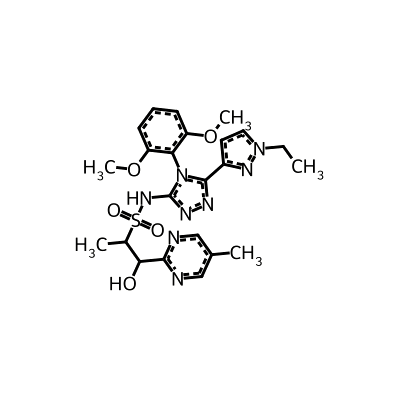 CCn1ccc(-c2nnc(NS(=O)(=O)C(C)C(O)c3ncc(C)cn3)n2-c2c(OC)cccc2OC)n1